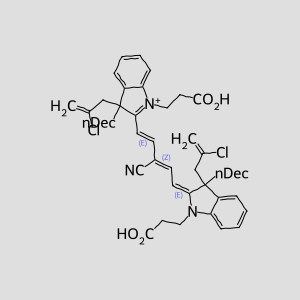 C=C(Cl)CC1(CCCCCCCCCC)C(/C=C/C(C#N)=C/C=C2/N(CCC(=O)O)c3ccccc3C2(CCCCCCCCCC)CC(=C)Cl)=[N+](CCC(=O)O)c2ccccc21